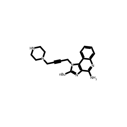 CCCCc1nc2c(N)nc3ccccc3c2n1CC#CCN1CCNCC1